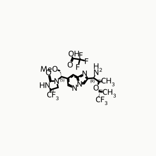 COC[C@H](c1cnn2cc([C@@H](N)[C@@H](C)O[C@H](C)C(F)(F)F)nc2c1)N1C[C@@H](C(F)(F)F)NC1=O.O=C(O)C(F)(F)F